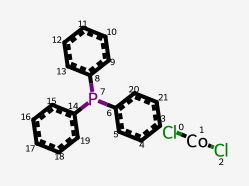 [Cl][Co][Cl].c1ccc(P(c2ccccc2)c2ccccc2)cc1